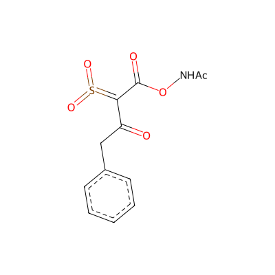 CC(=O)NOC(=O)C(C(=O)Cc1ccccc1)=S(=O)=O